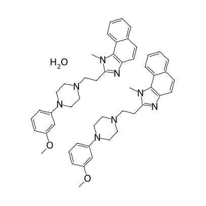 COc1cccc(N2CCN(CCc3nc4ccc5ccccc5c4n3C)CC2)c1.COc1cccc(N2CCN(CCc3nc4ccc5ccccc5c4n3C)CC2)c1.O